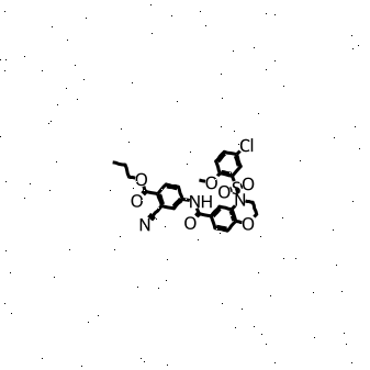 CCCOC(=O)c1ccc(NC(=O)c2ccc3c(c2)N(S(=O)(=O)c2cc(Cl)ccc2OC)CCO3)cc1C#N